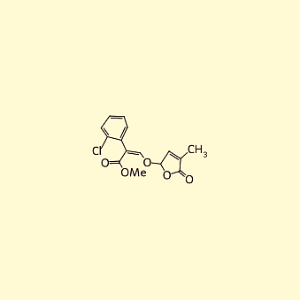 COC(=O)/C(=C\OC1C=C(C)C(=O)O1)c1ccccc1Cl